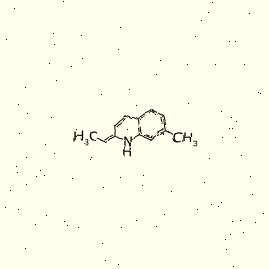 C/C=C1\C=Cc2ccc(C)cc2N1